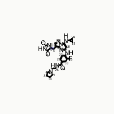 O=C1NC(=O)/C(=C/c2cnn3c(NC4CC4)cc(Nc4ccc(C(=O)NCCN5CCCC5)cc4F)nc23)N1